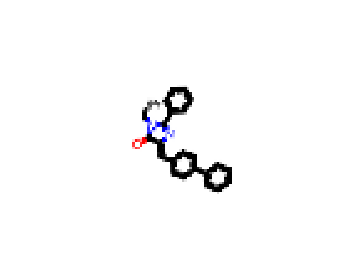 CC(C)CN1C(=O)C(=Cc2ccc(-c3ccccc3)cc2)N=C1c1ccccc1